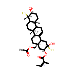 C/C=C(/C)C(=O)O[C@H]1C[C@]2(COC(=O)C(C)CC)CC[C@]3(C)C(=CCC4[C@@]5(C)CC[C@H](O)[C@@](C)(S)C5CC[C@]43C)C2C[C@]1(O)S